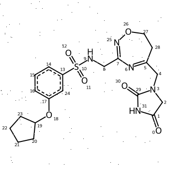 O=C1CN(CC2=NC(CNS(=O)(=O)c3cccc(OC4CCCC4)c3)=NOCC2)C(=O)N1